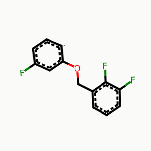 Fc1cc[c]c(OCc2cccc(F)c2F)c1